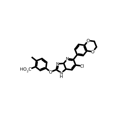 Cc1ccc(OC2=NC3N=C(c4ccc5c(c4)OCCO5)C(Cl)=CC3N2)cc1C(=O)O